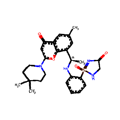 Cc1cc([C@@H](C)Nc2ccccc2S2(=O)=NC(=O)CN2)c2oc(N3CCC(C)(C)CC3)cc(=O)c2c1